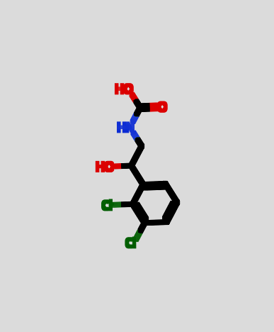 O=C(O)NCC(O)c1cccc(Cl)c1Cl